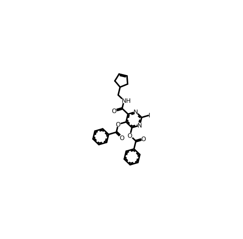 O=C(Oc1nc(I)nc(C(=O)NCC2CC=CC2)c1OC(=O)c1ccccc1)c1ccccc1